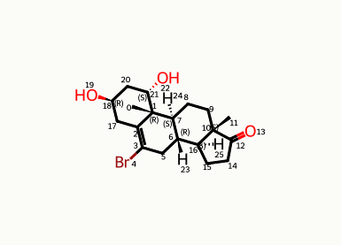 C[C@]12C(=C(Br)C[C@@H]3[C@@H]1CC[C@]1(C)C(=O)CC[C@@H]31)C[C@@H](O)C[C@@H]2O